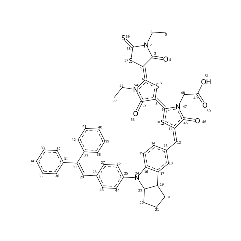 CCN1C(=O)/C(=c2\s/c(=c3/s/c(=C\c4ccc5c(c4)C4CCCC4N5c4ccc(C=C(c5ccccc5)c5ccccc5)cc4)c(=O)n3CC(=O)O)c(=O)n2CC)SC1=S